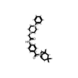 CC1(C)CC2CC(C)(CN2C(=O)c2ccc(NC(=O)CN3CCN(c4ccccc4)CC3)cc2)C1